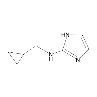 c1c[nH]c(NCC2CC2)n1